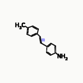 Cc1ccc(/C=C/c2ccc(N)cc2)cc1